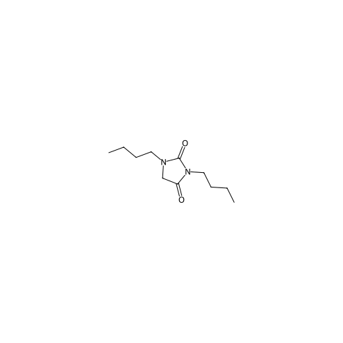 CCCCN1CC(=O)N(CCCC)C1=O